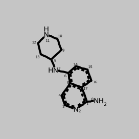 Nc1nccc2c(NC3CCNCC3)cccc12